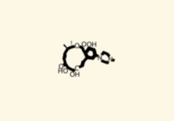 C[C@@H]1/C=C\C(=O)[C@@H](O)[C@@H](O)C/C=C/c2cc(N3CCN(C)CC3)cc(O)c2C(=O)O[C@H]1C